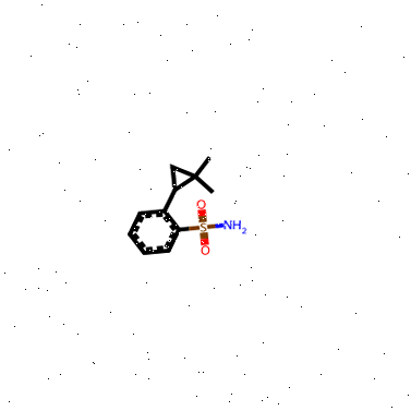 CC1(C)CC1c1ccccc1S(N)(=O)=O